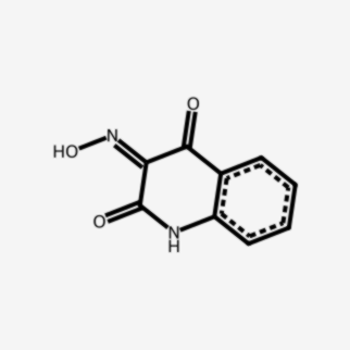 O=C1Nc2ccccc2C(=O)/C1=N/O